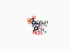 Cc1c(C(=O)N(C)[C@@](C(=O)O)(c2ccc3c(c2)C(=O)CS3(=O)=O)C(C)C)ccc2c1B(O)OC2